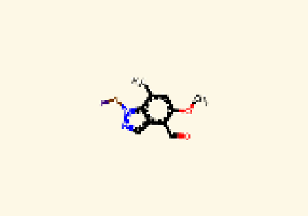 COc1cc(C)c2c(cnn2SI)c1C=O